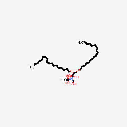 CCCCC/C=C\C/C=C\CCCCCCCCOCC(OCCCCCCCC/C=C\C/C=C\CCCCC)C(O)(O)N(CO)C(C)(O)O